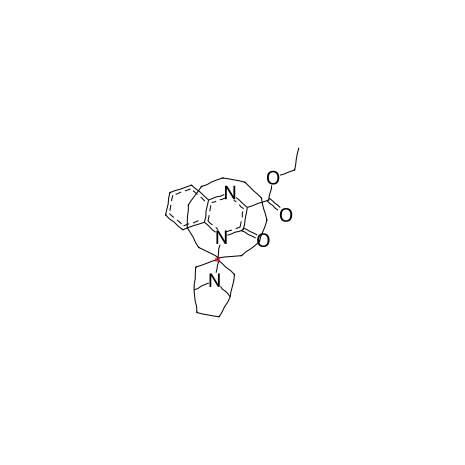 CCOC(=O)c1nc2ccccc2n(C2CC3CCC(C2)N3C2CCCCCCCCCC2)c1=O